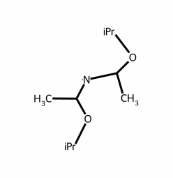 CC(C)OC(C)[N]C(C)OC(C)C